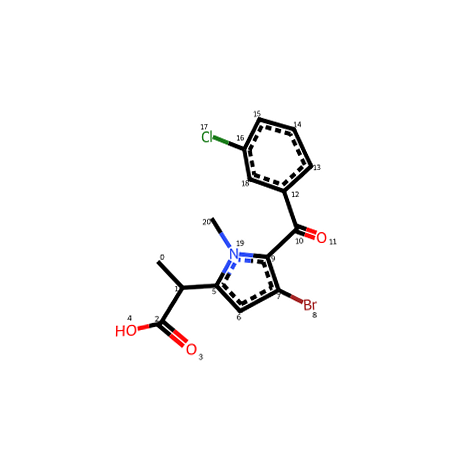 CC(C(=O)O)c1cc(Br)c(C(=O)c2cccc(Cl)c2)n1C